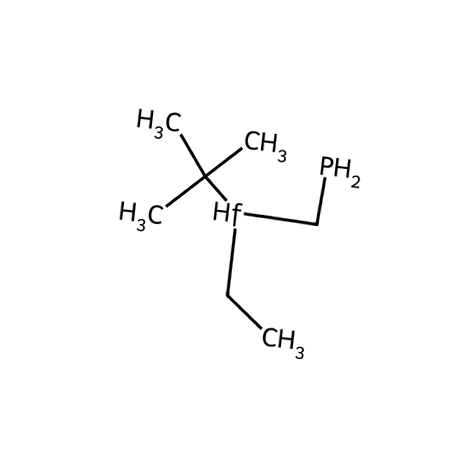 C[CH2][Hf]([CH2]P)[C](C)(C)C